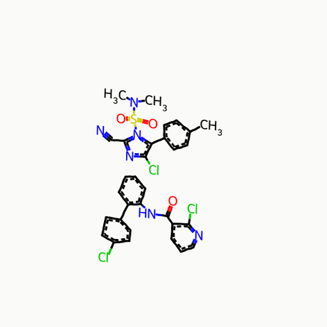 Cc1ccc(-c2c(Cl)nc(C#N)n2S(=O)(=O)N(C)C)cc1.O=C(Nc1ccccc1-c1ccc(Cl)cc1)c1cccnc1Cl